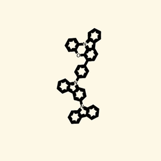 c1ccc2c(c1)Oc1c(-c3ccc(-n4c5ccccc5c5cc(-n6c7ccccc7c7ccccc76)ccc54)cc3)ccc3c4ccccc4n-2c13